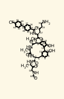 C[C@H](NC(=O)[C@@H]1Cc2ccc(O)c(c2)-c2cc(ccc2O)[C@H](N(C)C(=O)[C@H](CCCCN)NC(=O)c2ccc(-c3ccc(Cl)cc3)cc2)C(=O)N[C@@H](C)C(=O)N1)C(=O)CNC=O